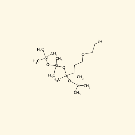 [3H]CCOCCC[Si](C)(O[Si](C)(C)C)O[Si](C)(C)O[Si](C)(C)C